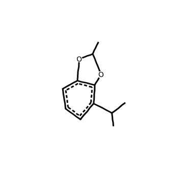 CC1Oc2cccc(C(C)C)c2O1